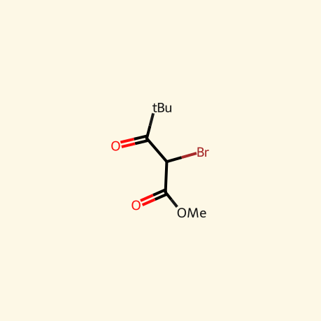 COC(=O)C(Br)C(=O)C(C)(C)C